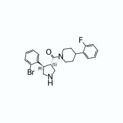 O=C([C@@H]1CNC[C@H]1c1ccccc1Br)N1CCC(c2ccccc2F)CC1